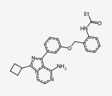 CCC(=O)Nc1ccccc1COc1cccc(-c2nc(C3CCC3)n3ccnc(N)c23)c1